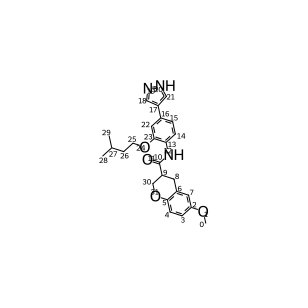 COc1ccc2c(c1)CC(C(=O)Nc1ccc(-c3cn[nH]c3)cc1OCCC(C)C)CO2